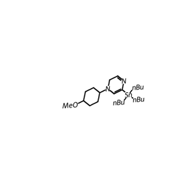 CCC[CH2][Sn]([CH2]CCC)([CH2]CCC)[C]1=CN(C2CCC(OC)CC2)CC=N1